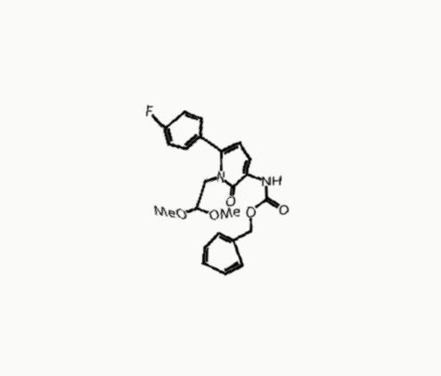 COC(Cn1c(-c2ccc(F)cc2)ccc(NC(=O)OCc2ccccc2)c1=O)OC